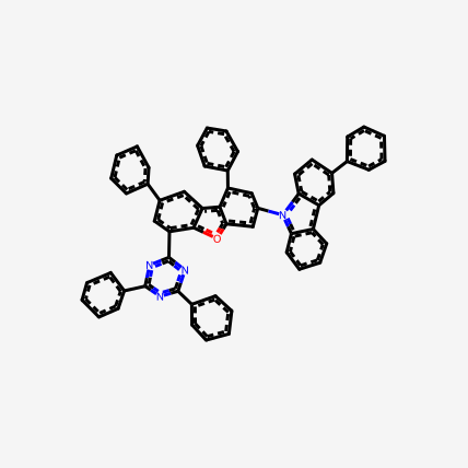 c1ccc(-c2cc(-c3nc(-c4ccccc4)nc(-c4ccccc4)n3)c3oc4cc(-n5c6ccccc6c6cc(-c7ccccc7)ccc65)cc(-c5ccccc5)c4c3c2)cc1